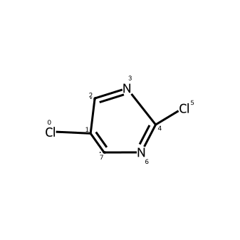 Clc1[c]nc(Cl)n[c]1